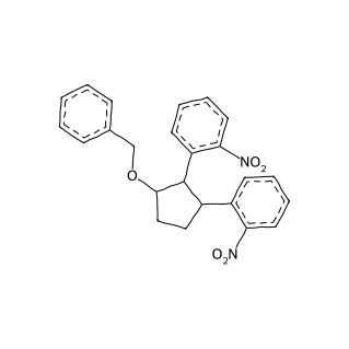 O=[N+]([O-])c1ccccc1C1CCC(OCc2ccccc2)C1c1ccccc1[N+](=O)[O-]